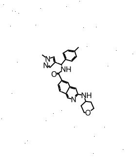 Cc1ccc([C@H](NC(=O)c2ccc3cnc(NC4CCOCC4)cc3c2)c2cnn(C)c2)cc1